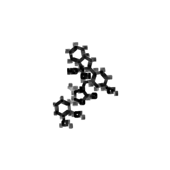 C[C@H]1[C@@H](c2cccc(C(F)(F)F)c2C(F)(F)F)OC(=O)N1Cc1cc(C(F)(F)F)ccc1C1=Cc2ccccc2S1(O)O